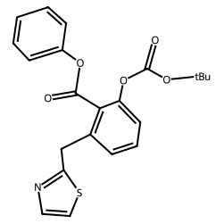 CC(C)(C)OC(=O)Oc1cccc(Cc2nccs2)c1C(=O)Oc1ccccc1